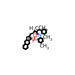 Cc1cc(C)c(N2c3ccccc3C(C)(C)c3cc(/C=C4/Cc5cc6ccccc6cc5C4=O)oc32)c(C)c1